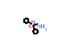 NCc1nc(-c2ccccc2)oc1-c1ccccc1